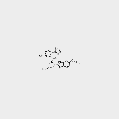 C=C1CC(c2nc3ccc(OC)cc3[nH]2)N(C(=O)c2cc(Cl)ccc2-n2nccn2)C1